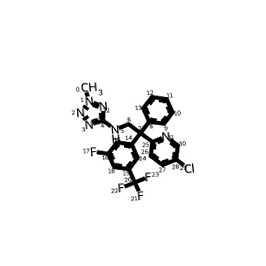 Cn1nnc(NCC(c2ccccc2)(c2cc(F)cc(C(F)(F)F)c2)c2ccc(Cl)cn2)n1